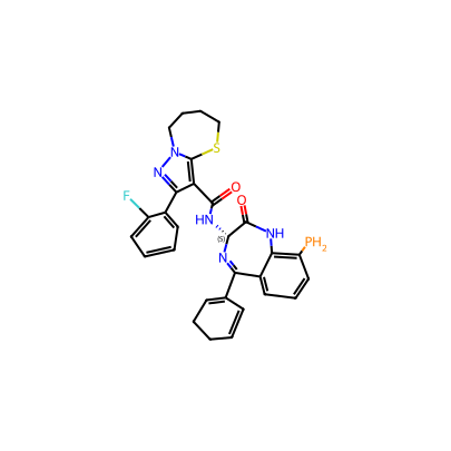 O=C(N[C@H]1N=C(C2=CCCC=C2)c2cccc(P)c2NC1=O)c1c(-c2ccccc2F)nn2c1SCCCC2